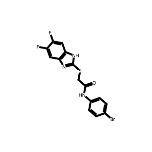 O=C(CSc1nc2cc(F)c(F)cc2[nH]1)Nc1ccc(Br)cc1